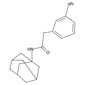 CCCc1cccc(CC(=O)NC23CC4CC(CC(C4)C2)C3)c1